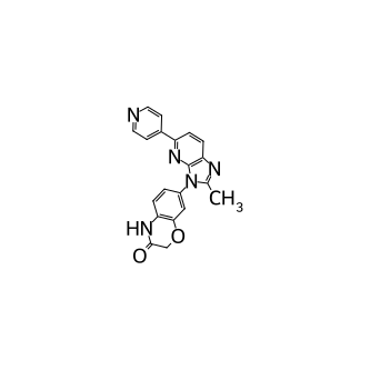 Cc1nc2ccc(-c3ccncc3)nc2n1-c1ccc2c(c1)OCC(=O)N2